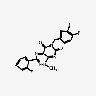 Cn1nc(-c2ccccc2F)nc2c(=O)n(Cc3ccc(F)c(F)c3)c(=O)nc1-2